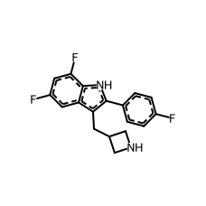 Fc1ccc(-c2[nH]c3c(F)cc(F)cc3c2CC2CNC2)cc1